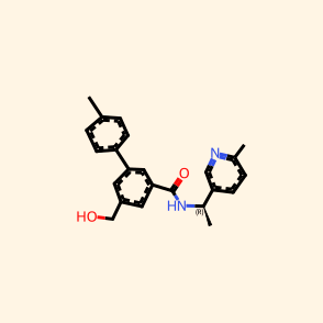 Cc1ccc(-c2cc(CO)cc(C(=O)N[C@H](C)c3ccc(C)nc3)c2)cc1